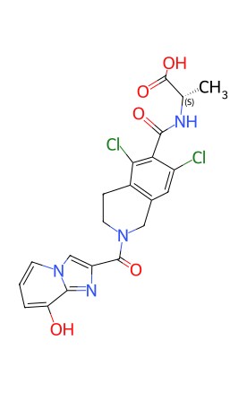 C[C@H](NC(=O)c1c(Cl)cc2c(c1Cl)CCN(C(=O)c1cn3cccc(O)c3n1)C2)C(=O)O